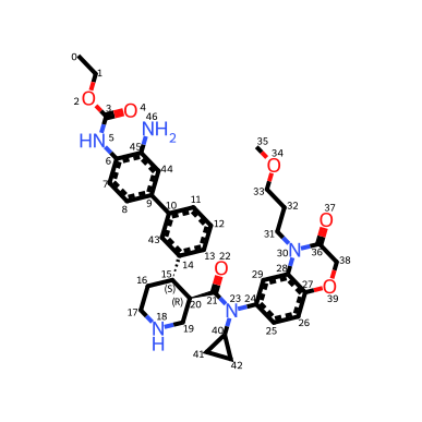 CCOC(=O)Nc1ccc(-c2cccc([C@H]3CCNC[C@@H]3C(=O)N(c3ccc4c(c3)N(CCCOC)C(=O)CO4)C3CC3)c2)cc1N